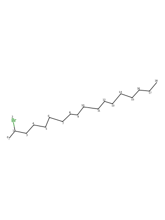 [CH2]C(Br)CCCCCCCCCCCCCCCC